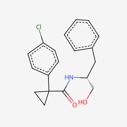 O=C(N[C@@H](CO)Cc1ccccc1)C1(c2ccc(Cl)cc2)CC1